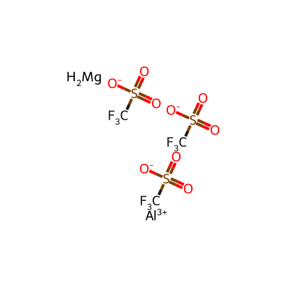 O=S(=O)([O-])C(F)(F)F.O=S(=O)([O-])C(F)(F)F.O=S(=O)([O-])C(F)(F)F.[Al+3].[MgH2]